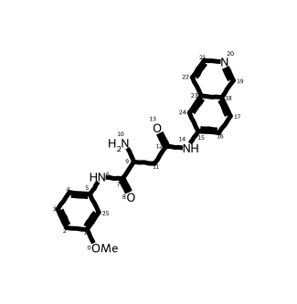 COc1cccc(NC(=O)C(N)CC(=O)Nc2ccc3cnccc3c2)c1